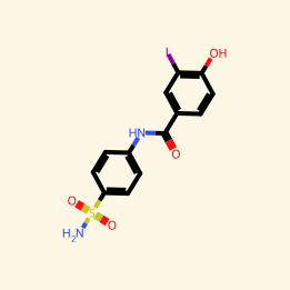 NS(=O)(=O)c1ccc(NC(=O)c2ccc(O)c(I)c2)cc1